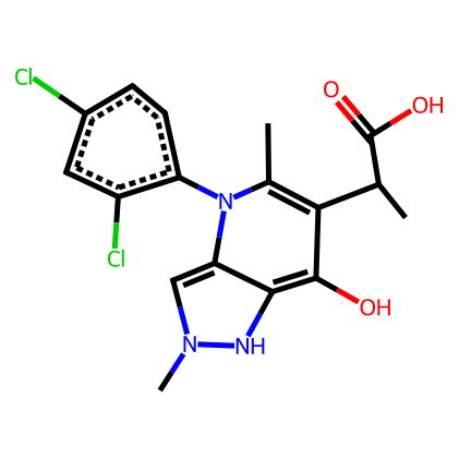 CC1=C(C(C)C(=O)O)C(O)=C2NN(C)C=C2N1c1ccc(Cl)cc1Cl